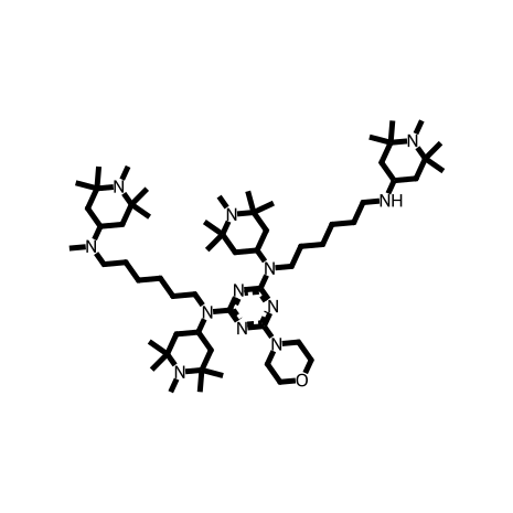 CN(CCCCCCN(c1nc(N2CCOCC2)nc(N(CCCCCCNC2CC(C)(C)N(C)C(C)(C)C2)C2CC(C)(C)N(C)C(C)(C)C2)n1)C1CC(C)(C)N(C)C(C)(C)C1)C1CC(C)(C)N(C)C(C)(C)C1